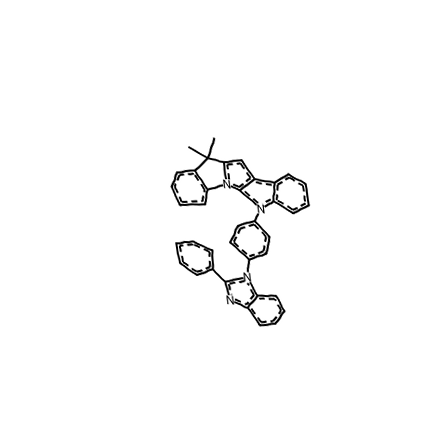 CC1(C)c2ccccc2-n2c1cc1c3ccccc3n(-c3ccc(-n4c(-c5ccccc5)nc5ccccc54)cc3)c12